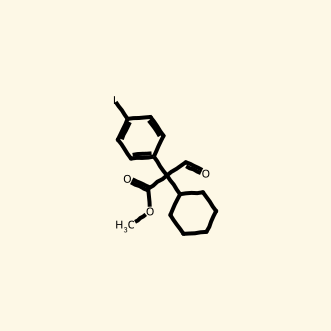 COC(=O)C(C=O)(c1ccc(I)cc1)C1CCCCC1